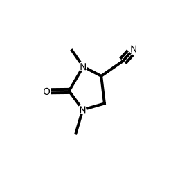 CN1CC(C#N)N(C)C1=O